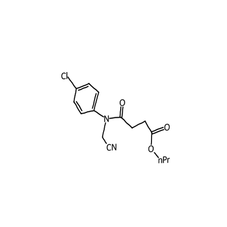 CCCOC(=O)CCC(=O)N(CC#N)c1ccc(Cl)cc1